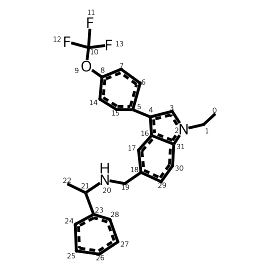 CCn1cc(-c2ccc(OC(F)(F)F)cc2)c2cc(CNC(C)c3ccccc3)ccc21